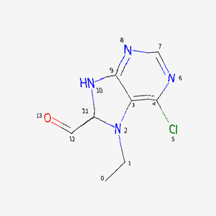 CCN1c2c(Cl)ncnc2NC1C=O